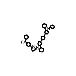 O=C(c1ccccc1)c1ccc(-c2cccc(-n3c4ccccc4c4cc(-c5ccc(-c6ccc7c(c6)c6ccccc6n7-c6ccccc6)cc5)ccc43)n2)cc1